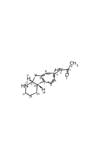 CC(=O)Nc1ccc2c(c1)C[C@H]1NCCC[C@@H]21